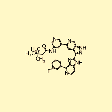 CC(C)(C)CC(=O)Nc1cncc(-c2cc3c(-c4nc5c(-c6cccc(F)c6)nccc5[nH]4)n[nH]c3cn2)c1